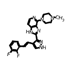 CN1CCN(c2nccc3[nH]c(-c4n[nH]cc4C=Cc4cccc(F)c4F)nc23)CC1